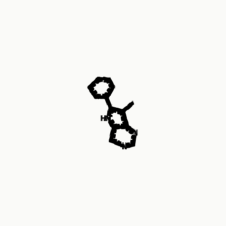 Cc1c(-c2ccccc2)[nH]c2cncnc12